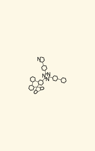 c1ccc(-c2ccc(-c3nc(-c4ccc(-c5cccnc5)cc4)nc(-c4ccc5c(c4)-c4ccccc4-c4ccccc4C54c5ccccc5-c5ccccc54)n3)cc2)cc1